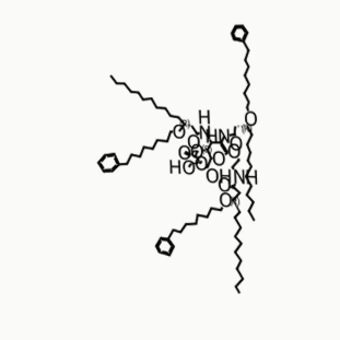 CCCCCCCCCCC[C@H](CC(=O)NCCOC1=C(NC(=O)C[C@@H](CCCCCCCCCCC)OCCCCCCCCc2ccccc2)C(NC(=O)C[C@@H](CCCCCCCCCCC)OCCCCCCCCc2ccccc2)[C@H](OS(=O)(=O)O)C(CO)O1)OCCCCCCCCc1ccccc1